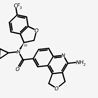 Nc1nc2ccc(C(=O)N(C3CC3)[C@@H]3COc4cc(C(F)(F)F)ccc43)cc2c2c1COC2